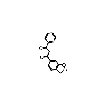 O=C(CC(=O)c1ccc2c(c1)OOC2)c1ccccc1